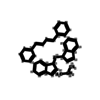 C(C=Cc1ccccc1)=Cc1ccccc1.C1=C[CH]([Zr][CH]2C=Cc3ccccc32)c2ccccc21.C[SiH2]C